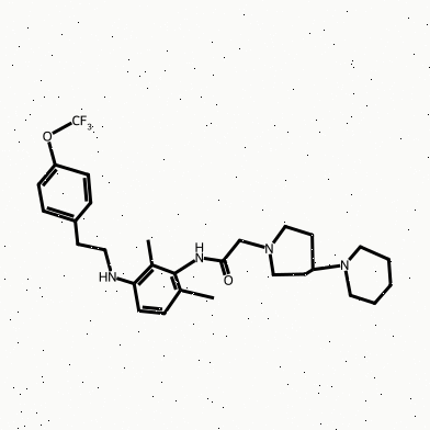 Cc1ccc(NCCc2ccc(OC(F)(F)F)cc2)c(C)c1NC(=O)CN1CCC(N2CCCCC2)CC1